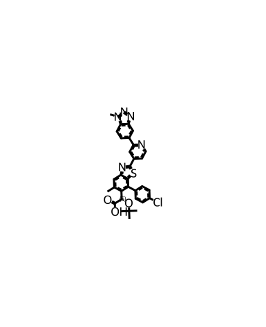 Cc1cc2nc(-c3ccnc(-c4ccc5c(c4)nnn5C)c3)sc2c(-c2ccc(Cl)cc2)c1[C@H](OC(C)(C)C)C(=O)O